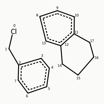 ClCc1ccccc1.c1ccc2c(c1)CCCC2